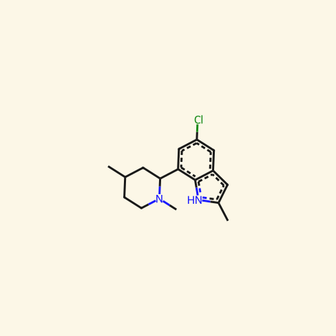 Cc1cc2cc(Cl)cc(C3CC(C)CCN3C)c2[nH]1